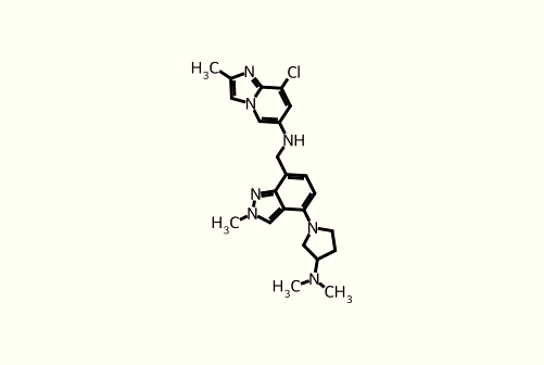 Cc1cn2cc(NCc3ccc(N4CCC(N(C)C)C4)c4cn(C)nc34)cc(Cl)c2n1